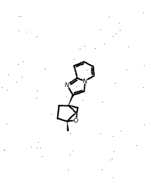 C[C@]12CC[C@](c3cn4ccccc4n3)(CO1)C2